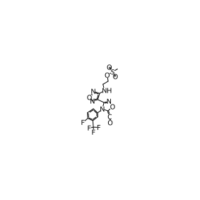 CS(=O)(=O)OCCNc1nonc1C1=NOC(=C=O)N1c1ccc(F)c(C(F)(F)F)c1